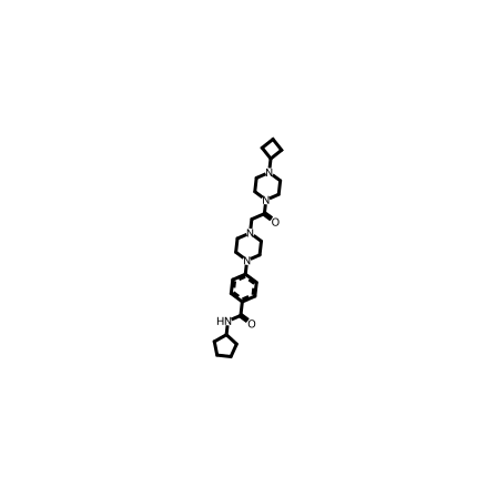 O=C(NC1CCCC1)c1ccc(N2CCN(CC(=O)N3CCN(C4CCC4)CC3)CC2)cc1